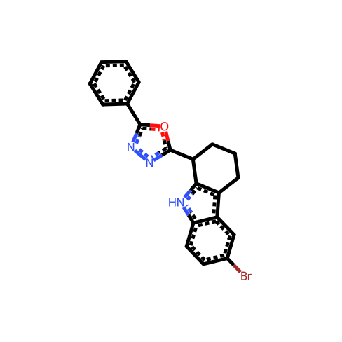 Brc1ccc2[nH]c3c(c2c1)CCCC3c1nnc(-c2ccccc2)o1